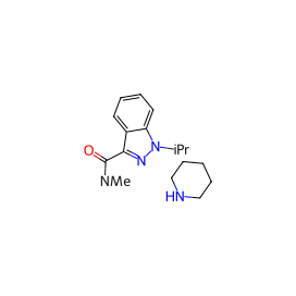 C1CCNCC1.CNC(=O)c1nn(C(C)C)c2ccccc12